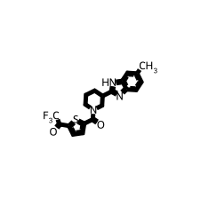 Cc1ccc2nc(C3CCCN(C(=O)c4ccc(C(=O)C(F)(F)F)s4)C3)[nH]c2c1